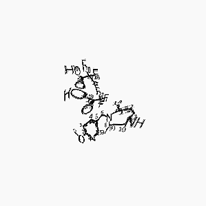 COc1ccc(CN2[C@H](C)CNC[C@@H]2C)cn1.O=C(O)C(F)(F)F.O=C(O)C(F)(F)F